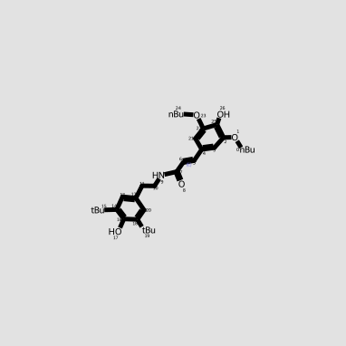 CCCCOc1cc(/C=C/C(=O)NCCc2cc(C(C)(C)C)c(O)c(C(C)(C)C)c2)cc(OCCCC)c1O